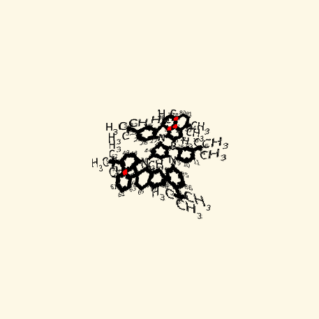 CC(C)(C)c1ccc(N2c3ccc(C(C)(C)C)cc3B3c4cc5c(cc4N(c4ccc(C(C)(C)C)cc4-c4ccccc4)c4cc(N6c7ccc(C(C)(C)C)cc7C7(c8ccccc8)CCc8ccccc8C67C)cc2c43)C(C)(C)CCC5(C)C)cc1